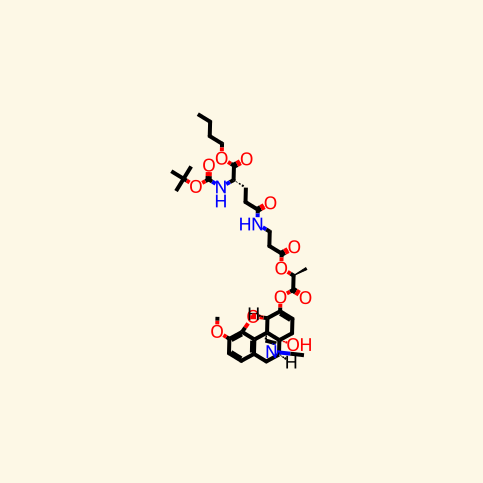 CCCCOC(=O)[C@H](CCC(=O)NCCC(=O)O[C@@H](C)C(=O)OC1=CC[C@@]2(O)[C@H]3Cc4ccc(OC)c5c4[C@@]2(CCN3C)[C@H]1O5)NC(=O)OC(C)(C)C